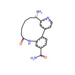 NC(=O)c1ccc2c(c1)NC(=O)CCCC[C@H](N)c1cc-2ccn1